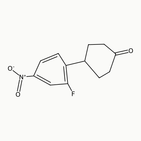 O=C1CCC(c2ccc([N+](=O)[O-])cc2F)CC1